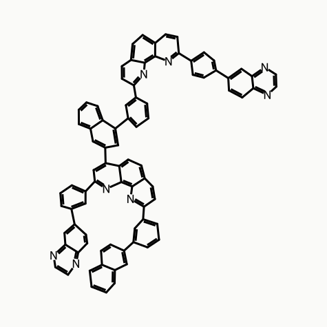 c1cc(-c2ccc3ccccc3c2)cc(-c2ccc3ccc4c(-c5cc(-c6cccc(-c7ccc8ccc9ccc(-c%10ccc(-c%11ccc%12nccnc%12c%11)cc%10)nc9c8n7)c6)c6ccccc6c5)cc(-c5cccc(-c6ccc7nccnc7c6)c5)nc4c3n2)c1